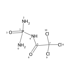 NP(N)(=O)NC(=O)C(Cl)(Cl)Cl